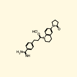 Cl.N=C(N)c1ccc(CCC(=O)N2CCCc3cc(N4CCCC4=O)ccc32)cc1